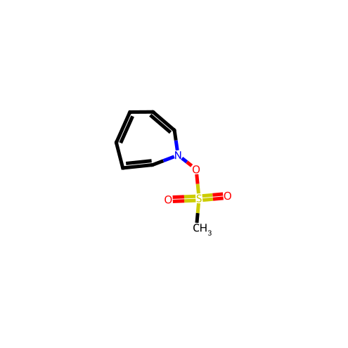 CS(=O)(=O)ON1C=CC=CC=C1